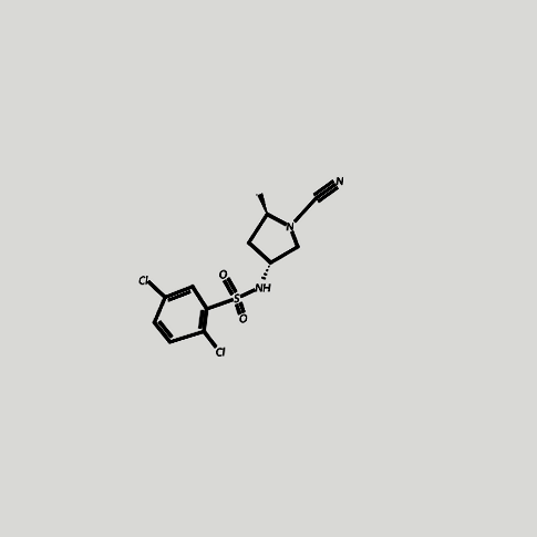 [CH2][C@@H]1C[C@@H](NS(=O)(=O)c2cc(Cl)ccc2Cl)CN1C#N